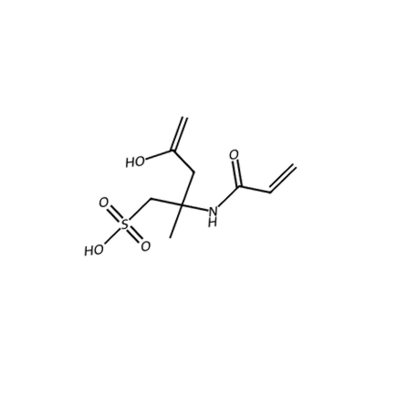 C=CC(=O)NC(C)(CC(=C)O)CS(=O)(=O)O